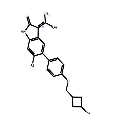 C/C(O)=C1\C(=O)Nc2cc(Cl)c(-c3ccc(OCC4CC(O)C4)cc3)cc21